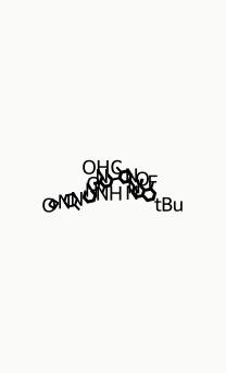 CC1CN(C2COC2)CCN1c1ccc(Nc2cc(-c3cc(-n4ncc5cc(C(C)(C)C)cc(F)c5c4=O)ncc3C=O)cn(C)c2=O)nc1